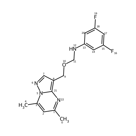 Cc1cc(C)n2ncc(COCNc3cc(F)cc(F)c3)c2n1